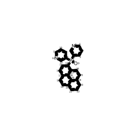 O=P(c1cccnc1)(c1cccnc1)c1ccc2ccc3cccc4ccc1c2c34